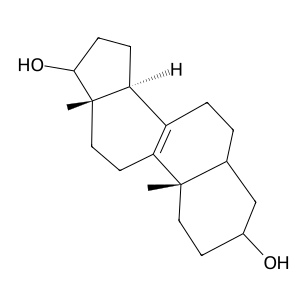 C[C@]12CCC(O)CC1CCC1=C2CC[C@]2(C)C(O)CC[C@@H]12